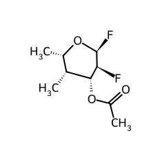 CC(=O)O[C@@H]1[C@H](C)[C@H](C)O[C@@H](F)[C@H]1F